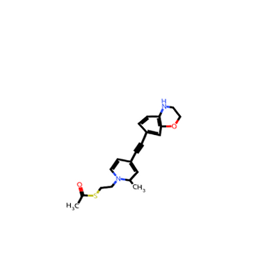 CC(=O)SCCN1C=CC(C#Cc2ccc3c(c2)OCCN3)=CC1C